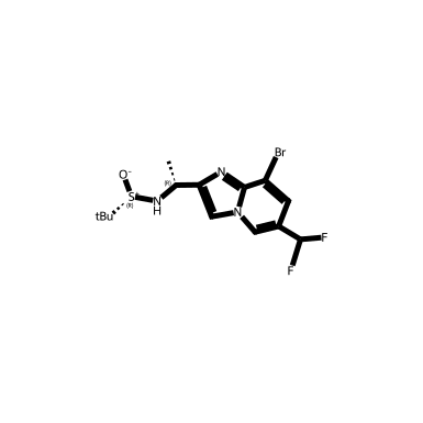 C[C@@H](N[S@@+]([O-])C(C)(C)C)c1cn2cc(C(F)F)cc(Br)c2n1